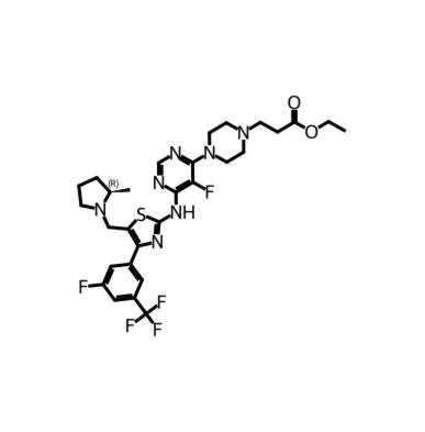 CCOC(=O)CCN1CCN(c2ncnc(Nc3nc(-c4cc(F)cc(C(F)(F)F)c4)c(CN4CCC[C@H]4C)s3)c2F)CC1